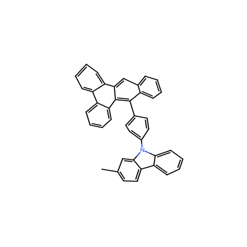 Cc1ccc2c3ccccc3n(-c3ccc(-c4c5ccccc5cc5c6ccccc6c6ccccc6c45)cc3)c2c1